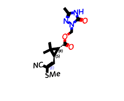 CS/C(C#N)=C/[C@@H]1[C@@H](C(=O)OCn2nc(C)[nH]c2=O)C1(C)C